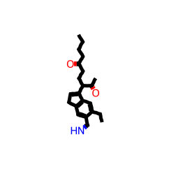 CCCCC(=O)CCC(C(C)=O)C1=CCc2cc(C=N)c(CC)cc21